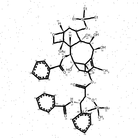 CC[Si](CC)(CC)OC1C[C@H]2OC[C@@]2(OC(C)=O)[C@H]2[C@H](OC(=O)c3ccccc3)[C@]3(O)CC(OC(=O)[C@H](O[Si](C)(C)C(C)(C)C)[C@@H](NC(=O)c4ccccc4)c4ccccc4)C(C)=C([C@H](O)[C@H](O)[C@]12C)C3(C)C